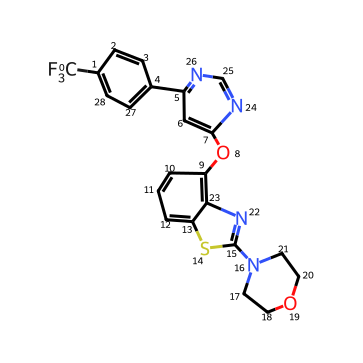 FC(F)(F)c1ccc(-c2cc(Oc3cccc4sc(N5CCOCC5)nc34)ncn2)cc1